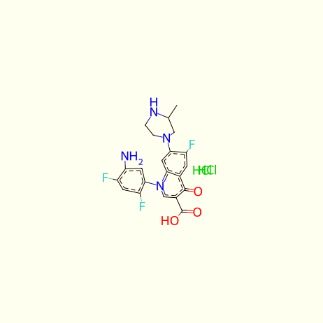 CC1CN(c2cc3c(cc2F)c(=O)c(C(=O)O)cn3-c2cc(N)c(F)cc2F)CCN1.Cl.Cl